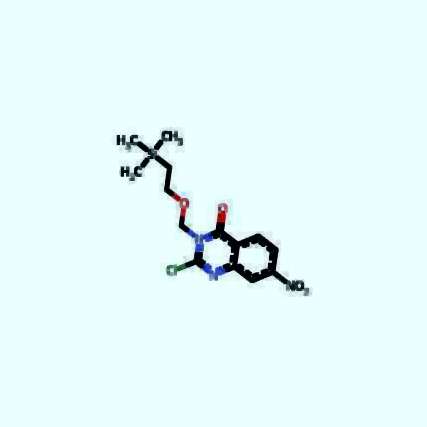 C[Si](C)(C)CCOCn1c(Cl)nc2cc([N+](=O)[O-])ccc2c1=O